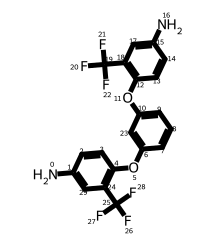 Nc1ccc(Oc2cccc(Oc3ccc(N)cc3C(F)(F)F)c2)c(C(F)(F)F)c1